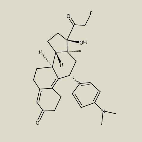 CN(C)c1ccc([C@H]2C[C@@]3(C)[C@@H](CC[C@]3(O)C(=O)CF)[C@@H]3CCC4=CC(=O)CCC4=C32)cc1